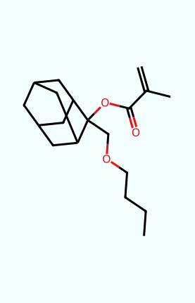 C=C(C)C(=O)OC1(COCCCC)C2CC3CC(C2)CC1C3